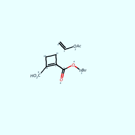 C=COC(C)=O.CCCCOC(=O)C1=C(C(=O)O)CC1